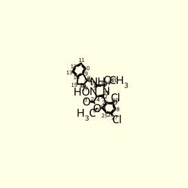 COC(=O)c1nc(N[C@@H]2c3ccccc3C[C@@H]2O)c(OC)nc1-c1ccc(Cl)cc1Cl